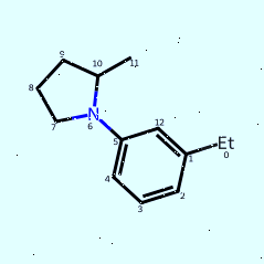 CCc1cccc(N2CCCC2C)c1